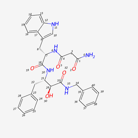 NC(=O)[CH]C(=O)N[C@@H](Cc1c[nH]c2ccccc12)C(=O)N[C@@H](Cc1ccccc1)[C@H](O)C(=O)NCc1ccccc1